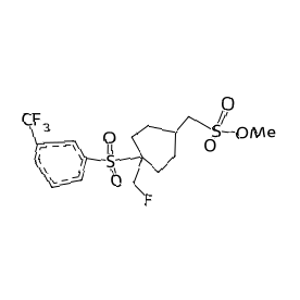 COS(=O)(=O)CC1CCC(CF)(S(=O)(=O)c2cccc(C(F)(F)F)c2)CC1